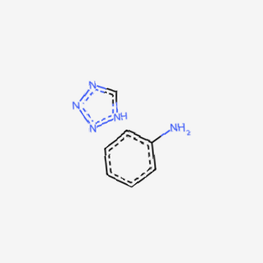 Nc1ccccc1.c1nnn[nH]1